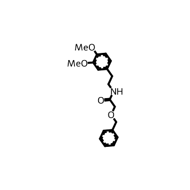 COc1ccc(CCNC(=O)COCc2ccccc2)cc1OC